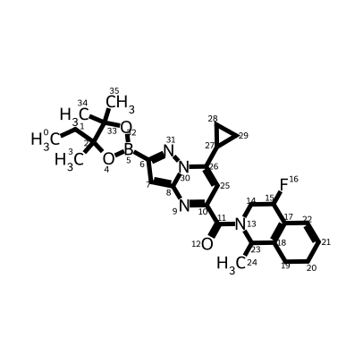 CCC1(C)OB(c2cc3nc(C(=O)N4CC(F)C5=C(CCC=C5)C4C)cc(C4CC4)n3n2)OC1(C)C